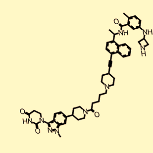 Cc1ccc(NC2CNC2)cc1C(=O)NC(C)c1ccc(C#CC2CCN(CCCCC(=O)N3CCC(c4ccc5c(N6CCC(=O)NC6=O)nn(C)c5c4)CC3)CC2)c2ccccc12